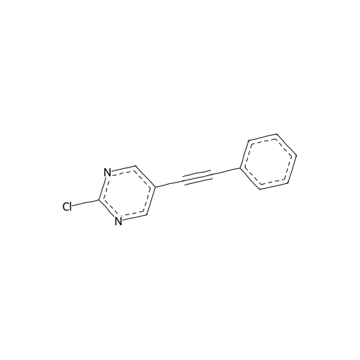 Clc1ncc(C#Cc2ccccc2)cn1